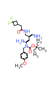 COc1ccc(CN(C(=O)OC(C)(C)C)/C(N)=C/C(=C\N)CNC(=O)CC2CC(F)(F)C2)cc1